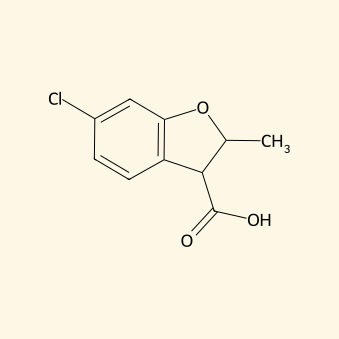 CC1Oc2cc(Cl)ccc2C1C(=O)O